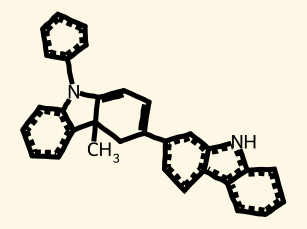 CC12CC(c3ccc4c(c3)[nH]c3ccccc34)=CC=C1N(c1ccccc1)c1ccccc12